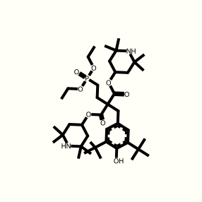 CCOP(=O)(CCC(Cc1cc(C(C)(C)C)c(O)c(C(C)(C)C)c1)(C(=O)OC1CC(C)(C)NC(C)(C)C1)C(=O)OC1CC(C)(C)NC(C)(C)C1)OCC